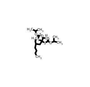 CCCCC(CC)CC(SC(=S)OC(C)C)(SC(=S)OC(C)C)C(=O)O